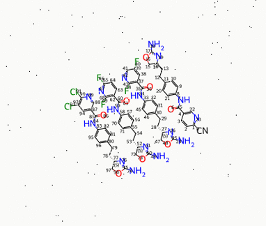 N#Cc1ccc(C(=O)Nc2ccc(CC[C@H]3COC(N)=N3)cc2)cn1.NC1=N[C@@H](CCc2ccc(NC(=O)c3cc(F)cnc3F)cc2)CO1.NC1=N[C@@H](CCc2ccc(NC(=O)c3ccc(F)nc3F)cc2)CO1.NC1=N[C@@H](CCc2ccc(NC(=O)c3cnc(Cl)c(Cl)c3)cc2)CO1